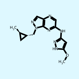 COc1cc(Nc2cnc3cnn(C[C@@H]4C[C@H]4C)c3n2)n[nH]1